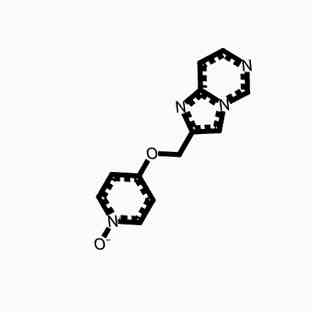 [O-][n+]1ccc(OCc2cn3cnccc3n2)cc1